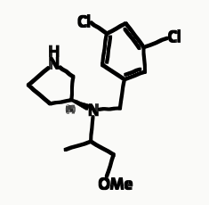 COCC(C)N(Cc1cc(Cl)cc(Cl)c1)[C@H]1CCNC1